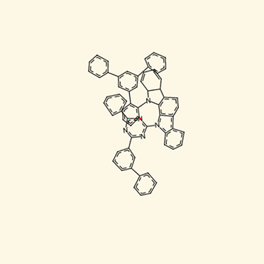 C1=CC2c3ccc4c5ccccc5n(-c5nc(-c6ccccc6)nc(-c6cccc(-c7ccccc7)c6)n5)c4c3N(c3ccccc3-c3cc(-c4ccccc4)cc(-c4ccccc4)c3)C2C=C1